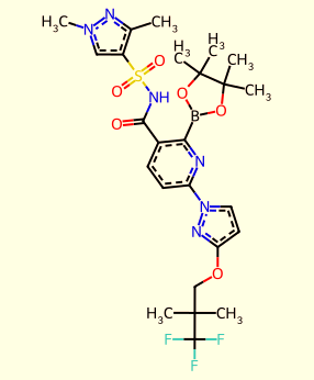 Cc1nn(C)cc1S(=O)(=O)NC(=O)c1ccc(-n2ccc(OCC(C)(C)C(F)(F)F)n2)nc1B1OC(C)(C)C(C)(C)O1